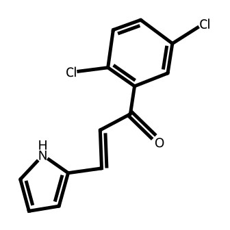 O=C(C=Cc1ccc[nH]1)c1cc(Cl)ccc1Cl